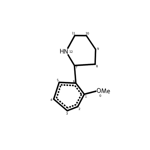 COc1ccccc1C1CCCCN1